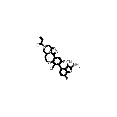 C=CC(=O)N1Cc2nnc3n2[C@@H](CCOc2c-3cc(F)c(-c3ccc(F)c4sc(N)c(C#N)c34)c2Cl)C1